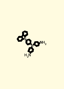 Nc1ccc(N(c2ccc(N)cc2)c2ccc(-n3c4ccccc4c4ccccc43)cc2)cc1